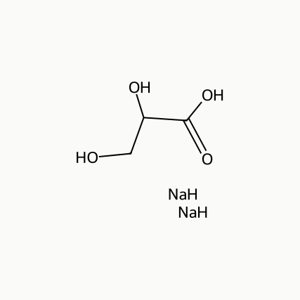 O=C(O)C(O)CO.[NaH].[NaH]